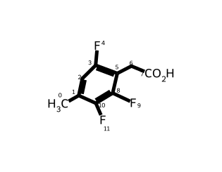 Cc1cc(F)c(CC(=O)O)c(F)c1F